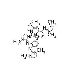 CN1CCN(C)C1=Nc1ccc(-c2ccc(N=C3N(C)CCN3C)c(N=C3N(C)CCN3C)c2)cc1N=C1N(C)CCN1C